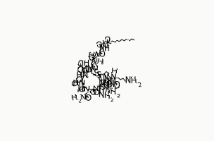 CCCCCCCCCCCC(=O)OC(C)C(=O)NCC(=O)NCC(=O)NCC(=O)N[C@H]1CSSC[C@@H](C(=O)N2CCC[C@H]2C(=O)N[C@@H](CCCCN)C(=O)NCC(N)=O)NC(=O)[C@H](CC(N)=O)NC(=O)[C@H](CCC(N)=O)NC(=O)[C@H](CC2=CCCC=C2)NC(=O)[C@@H](Cc2ccc(O)cc2)NC1=O